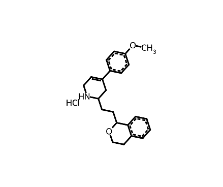 COc1ccc(C2=CCNC(CCC3OCCc4ccccc43)C2)cc1.Cl